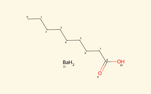 CCCCCCCCC(=O)O.[BaH2]